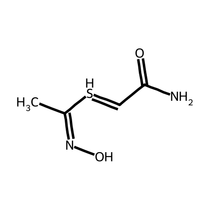 CC(=NO)[SH]=CC(N)=O